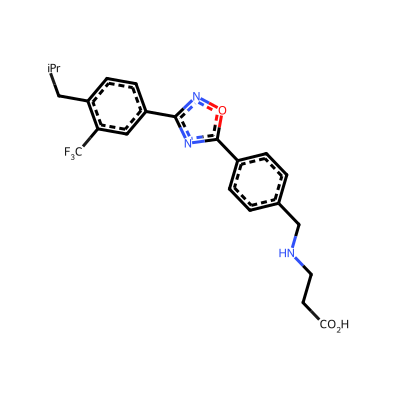 CC(C)Cc1ccc(-c2noc(-c3ccc(CNCCC(=O)O)cc3)n2)cc1C(F)(F)F